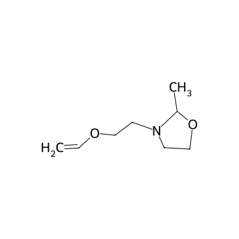 C=COCCN1CCOC1C